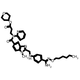 CCCCCCON=C(N)c1ccc(NCc2nc3cc(C(=O)N(CCC(=O)OC4CCOCC4)c4ccccn4)ccc3n2C)cc1